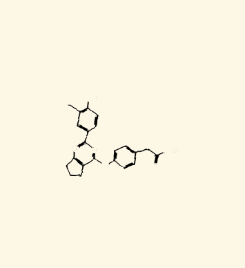 COC(=O)Cc1ccc(Oc2nc(-c3ccc(O)c(Cl)c3)nc3c2CCC3)cc1